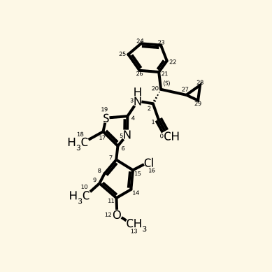 C#CC(Nc1nc(-c2cc(C)c(OC)cc2Cl)c(C)s1)[C@H](c1ccccc1)C1CC1